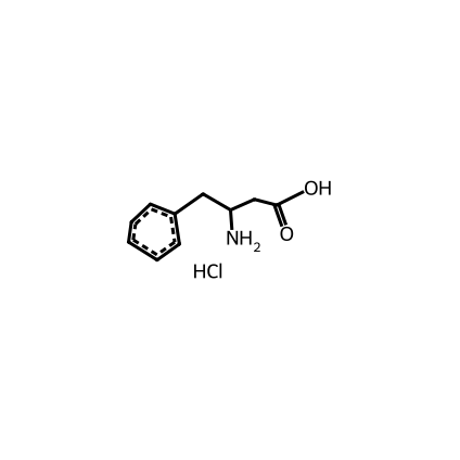 Cl.NC(CC(=O)O)Cc1ccccc1